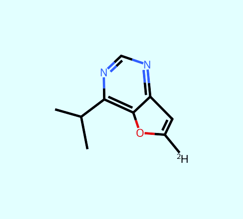 [2H]c1cc2ncnc(C(C)C)c2o1